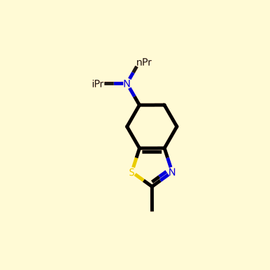 CCCN(C(C)C)C1CCc2nc(C)sc2C1